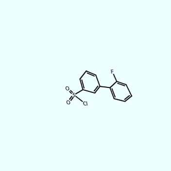 O=S(=O)(Cl)c1cccc(-c2ccccc2F)c1